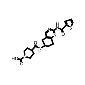 O=C(Nc1ncc2c(n1)CCC(NC(=O)C1CCN(C(=O)O)CC1)C2)c1cccs1